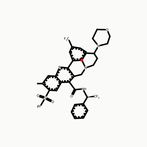 Cc1cc2nc(-c3cccc(C(F)(F)F)c3)c(CN3CCC(N4CCOCC4)CC3)c(C(=O)N[C@H](c3ccccc3)C(F)(F)F)c2cc1S(=O)(=O)C(C)C